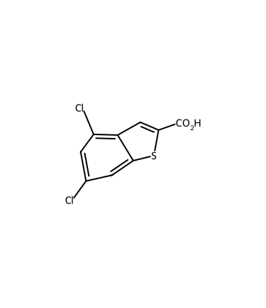 O=C(O)c1cc2c(Cl)cc(Cl)cc2s1